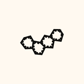 [c]1ccc2cc3ccc4ccccc4c3cc2c1